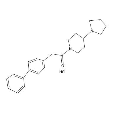 Cl.O=C(Cc1ccc(-c2ccccc2)cc1)N1CCC(N2CCCC2)CC1